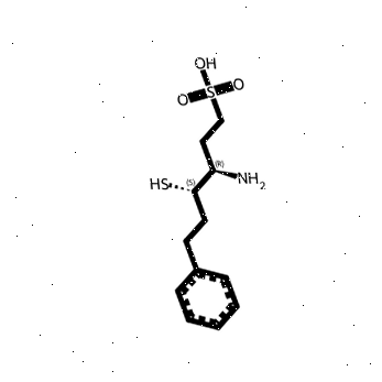 N[C@H](CCS(=O)(=O)O)[C@@H](S)CCc1ccccc1